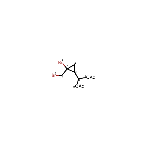 CC(=O)OC(OC(C)=O)C1CC1(Br)CBr